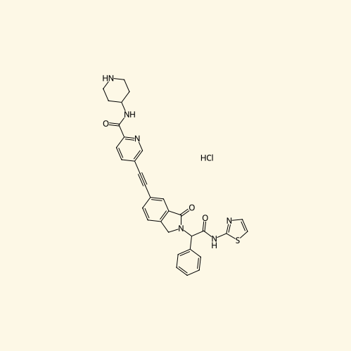 Cl.O=C(NC1CCNCC1)c1ccc(C#Cc2ccc3c(c2)C(=O)N(C(C(=O)Nc2nccs2)c2ccccc2)C3)cn1